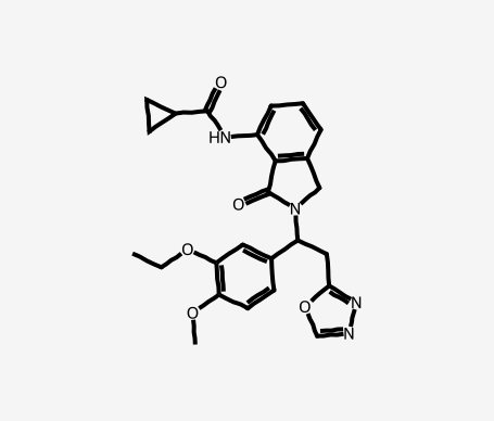 CCOc1cc(C(Cc2nnco2)N2Cc3cccc(NC(=O)C4CC4)c3C2=O)ccc1OC